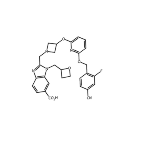 N#Cc1ccc(COc2cccc(OC3CN(Cc4nc5ccc(C(=O)O)cc5n4CC4CCO4)C3)n2)c(F)c1